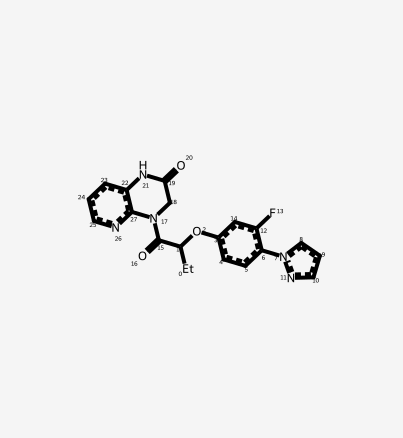 CCC(Oc1ccc(-n2cccn2)c(F)c1)C(=O)N1CC(=O)Nc2cccnc21